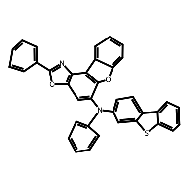 c1ccc(-c2nc3c(cc(N(c4ccccc4)c4ccc5c(c4)sc4ccccc45)c4oc5ccccc5c43)o2)cc1